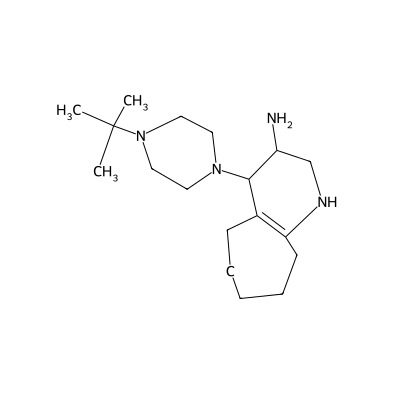 CC(C)(C)N1CCN(C2C3=C(CCCCC3)NCC2N)CC1